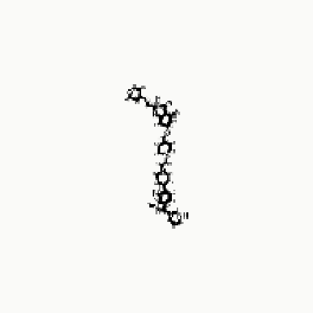 Cn1nc(N2C=CCNC2)c2ccc(C3CCN(CCN4CCC(COc5cc(F)c6c(=O)[nH]c(COC7CCOCC7)nc6c5)CC4)CC3)c(F)c21